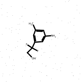 Cc1cc(N)cc(C(F)(F)CO)c1